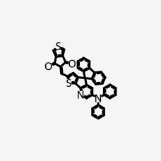 O=C1C(=Cc2cc3c(s2)-c2ncc(N(c4ccccc4)c4ccccc4)cc2C32c3ccccc3-c3ccccc32)C(=O)c2cscc21